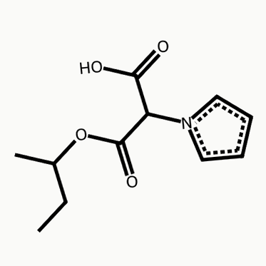 CCC(C)OC(=O)C(C(=O)O)n1cccc1